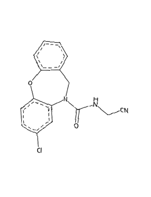 N#CCNC(=O)N1Cc2ccccc2Oc2ccc(Cl)cc21